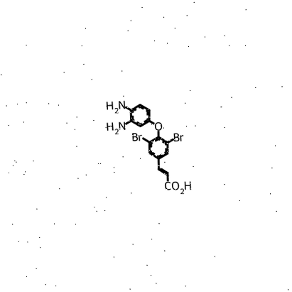 Nc1ccc(Oc2c(Br)cc(/C=C/C(=O)O)cc2Br)cc1N